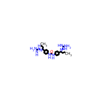 CCCC(=NNC(=N)N)c1ccc(NC(=O)Nc2ccc(/C(CCC)=N/NC(=N)N)cc2)cc1